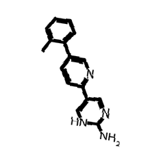 Cc1ccccc1-c1ccc(C2=CNC(N)N=C2)nc1